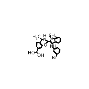 CC(NC(=O)c1c(Nc2cccc(Br)c2)c2ccccc2n1C)c1ccc(C(O)O)cc1